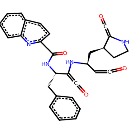 O=C=C[C@H](C[C@@H]1CCNC1=C=O)NC(=C=O)[C@H](Cc1ccccc1)NC(=O)c1ccc2ccccc2n1